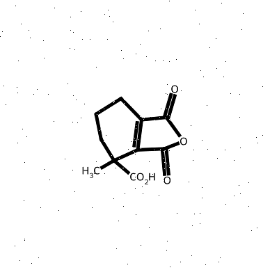 CC1(C(=O)O)CCCC2=C1C(=O)OC2=O